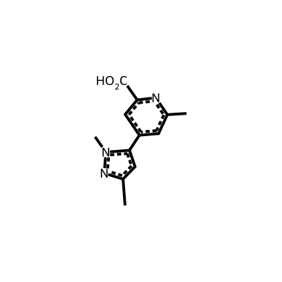 Cc1cc(-c2cc(C)nn2C)cc(C(=O)O)n1